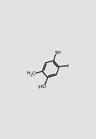 Cc1cc(S)c(I)cc1O